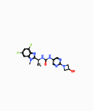 Cn1c(C(NC(=O)Nc2cnc(N3CC(O)C3)nc2)C(F)(F)F)nc2c(F)cc(F)cc21